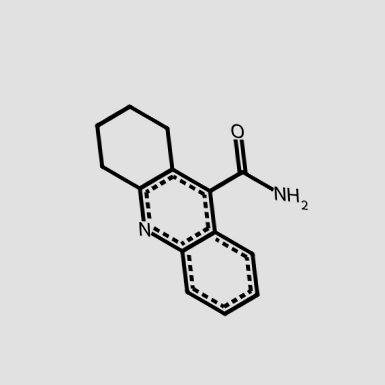 NC(=O)c1c2c(nc3ccccc13)CCCC2